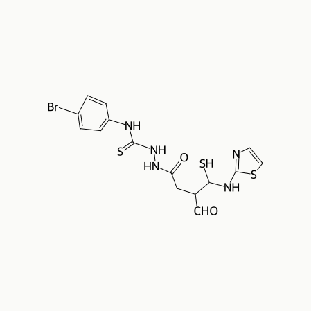 O=CC(CC(=O)NNC(=S)Nc1ccc(Br)cc1)C(S)Nc1nccs1